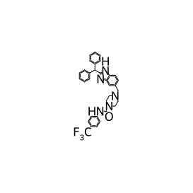 O=C(Nc1ccc(C(F)(F)F)cc1)N1CCN(Cc2ccc3[nH]c(C(c4ccccc4)c4ccccc4)nc3c2)CC1